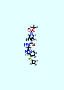 CC(C)(C)OC(=O)N1C[C@@H]2[C@H](C1)[C@H]2C(=O)NC(C)(C)c1ncc2c(SC3CCC3)cccn12